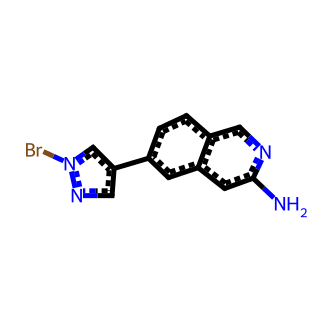 Nc1cc2cc(-c3cnn(Br)c3)ccc2cn1